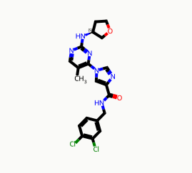 Cc1cnc(N[C@H]2CCOC2)nc1-n1cnc(C(=O)NCc2ccc(Cl)c(Cl)c2)c1